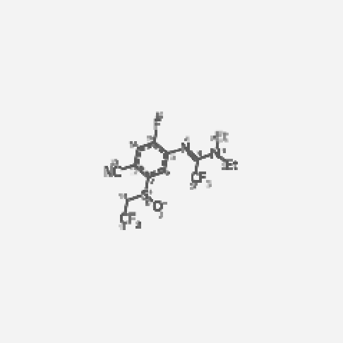 CCN(CC)/C(=N/c1cc([S+]([O-])CC(F)(F)F)c(C#N)cc1F)C(F)(F)F